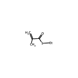 [CH2]CSC(=O)C(=C)C